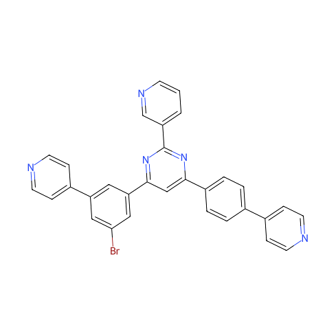 Brc1cc(-c2ccncc2)cc(-c2cc(-c3ccc(-c4ccncc4)cc3)nc(-c3cccnc3)n2)c1